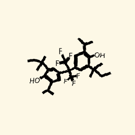 CCC(C)(C)c1cc(C(c2cc(C(C)C)c(O)c(C(C)(C)CC)c2)(C(F)(F)F)C(F)(F)F)cc(C(C)C)c1O